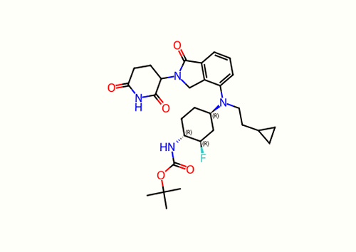 CC(C)(C)OC(=O)N[C@@H]1CC[C@@H](N(CCC2CC2)c2cccc3c2CN(C2CCC(=O)NC2=O)C3=O)C[C@H]1F